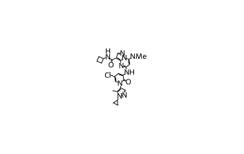 CNc1cc(Nc2cc(Cl)cn(-c3cnn(C4CC4)c3C)c2=O)nc2c(C(=O)NC3CCC3)cnn12